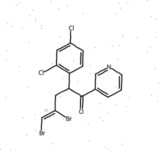 O=C(c1cccnc1)C(C/C(Br)=C/Br)c1ccc(Cl)cc1Cl